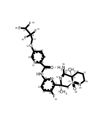 C[C@@]1(c2nc(NC(=O)c3ccc(OCC(F)(F)C(F)F)cn3)ccc2F)C[S@]2(=O)=NCCC[C@]2(C)C(N)=N1